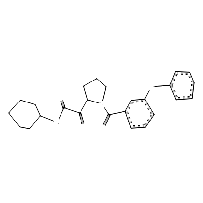 O=C(NC1CCCCC1)C(=O)C1CCCN1C(=O)c1cccc(Oc2ccccc2)c1